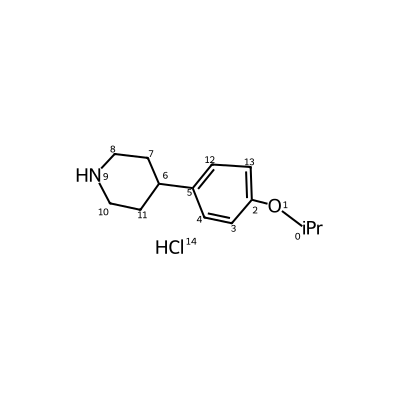 CC(C)Oc1ccc(C2CCNCC2)cc1.Cl